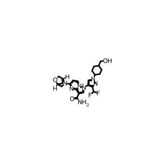 NC(=O)c1cn(-c2cn(C3CCC(CO)CC3)nc2C(F)F)[n+]2ccc(N3C[C@H]4C[C@@H]3CO4)nc12